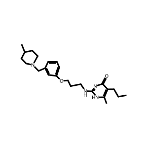 CCCc1c(C)[nH]c(NCCCOc2cccc(CN3CCC(C)CC3)c2)nc1=O